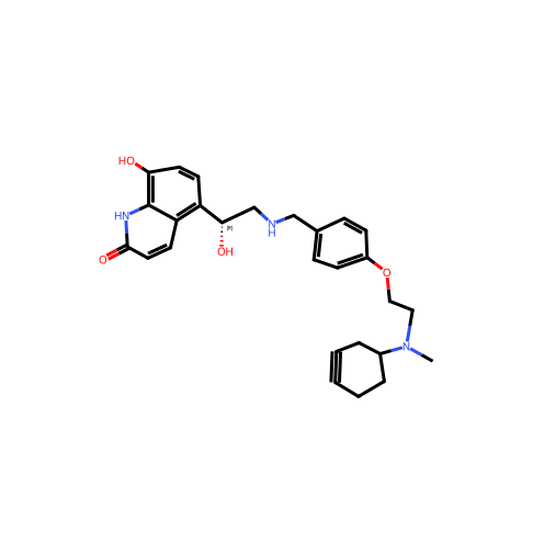 CN(CCOc1ccc(CNC[C@H](O)c2ccc(O)c3[nH]c(=O)ccc23)cc1)C1CC#CCC1